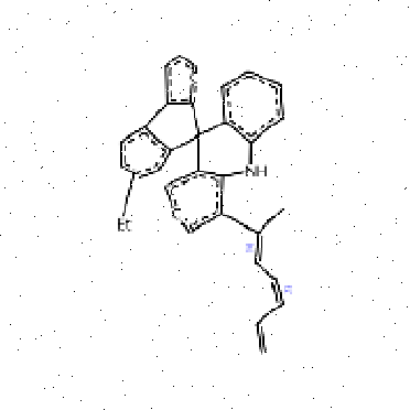 C=C/C=C\C=C(/C)c1cccc2c1Nc1ccccc1C21c2ccccc2-c2ccc(CC)cc21